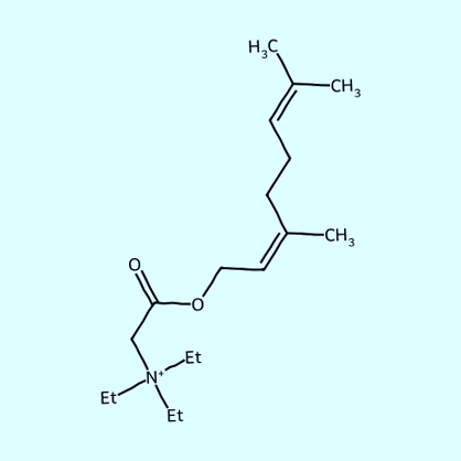 CC[N+](CC)(CC)CC(=O)OCC=C(C)CCC=C(C)C